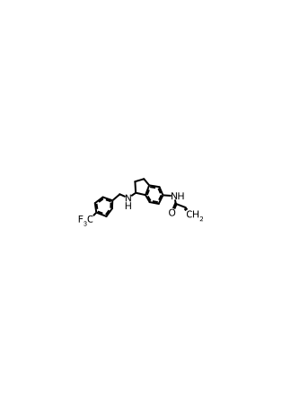 C=CC(=O)Nc1ccc2c(c1)CCC2NCc1ccc(C(F)(F)F)cc1